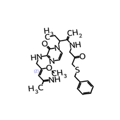 C=C(NCC(=O)CSCc1ccccc1)C(CC)n1ccnc(NC/C(=C/C(C)=N)OC)c1=O